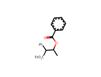 CCOC(=O)C(C(C)C)C(C)OC(=O)c1ccccc1